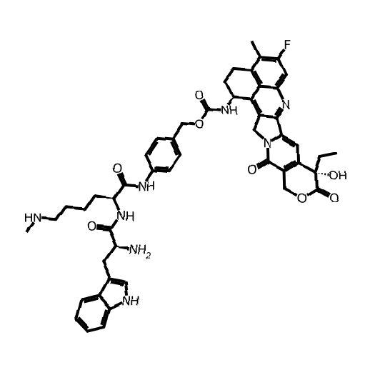 CC[C@@]1(O)C(=O)OCc2c1cc1n(c2=O)Cc2c-1nc1cc(F)c(C)c3c1c2[C@@H](NC(=O)OCc1ccc(NC(=O)[C@H](CCCCNC)NC(=O)[C@@H](N)Cc2c[nH]c4ccccc24)cc1)CC3